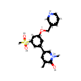 Cc1cc(-c2cc(OCc3cccnc3)cc(S(C)(=O)=O)c2)cn(C)c1=O